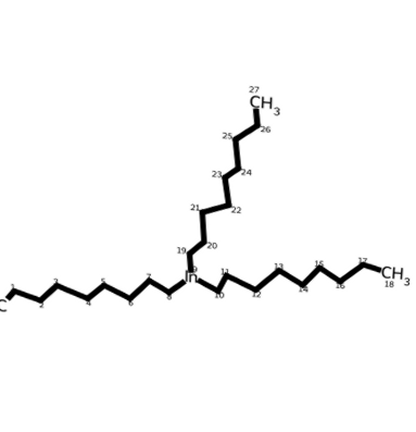 CCCCCCCC[CH2][In]([CH2]CCCCCCCC)[CH2]CCCCCCCC